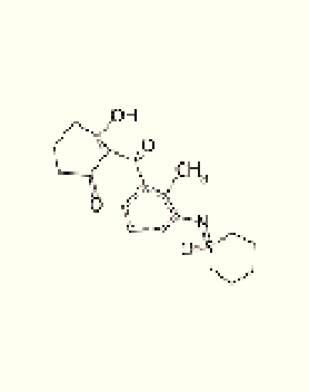 Cc1c(N=S2(=O)CCCCC2)cccc1C(=O)C1=C(O)CCCC1=O